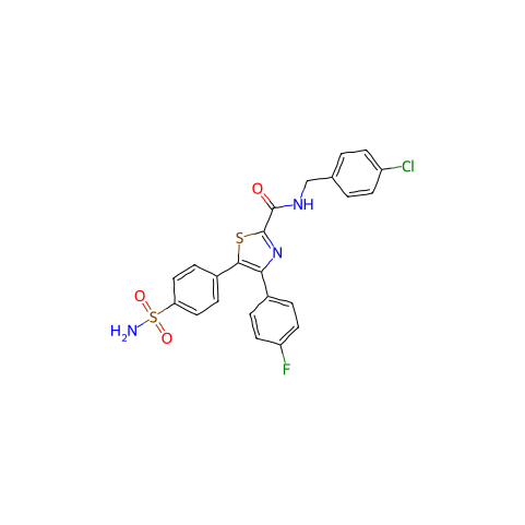 NS(=O)(=O)c1ccc(-c2sc(C(=O)NCc3ccc(Cl)cc3)nc2-c2ccc(F)cc2)cc1